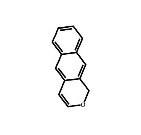 [C]1=Cc2cc3ccccc3cc2CO1